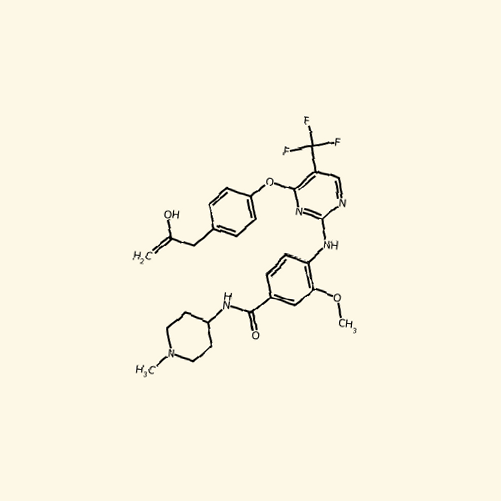 C=C(O)Cc1ccc(Oc2nc(Nc3ccc(C(=O)NC4CCN(C)CC4)cc3OC)ncc2C(F)(F)F)cc1